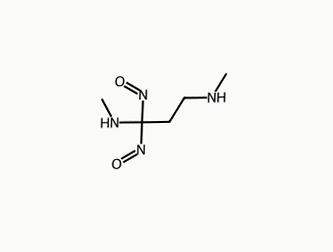 CNCCC(N=O)(N=O)NC